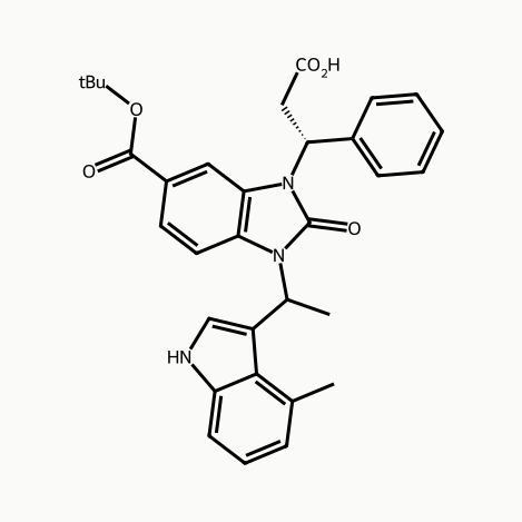 Cc1cccc2[nH]cc(C(C)n3c(=O)n([C@H](CC(=O)O)c4ccccc4)c4cc(C(=O)OC(C)(C)C)ccc43)c12